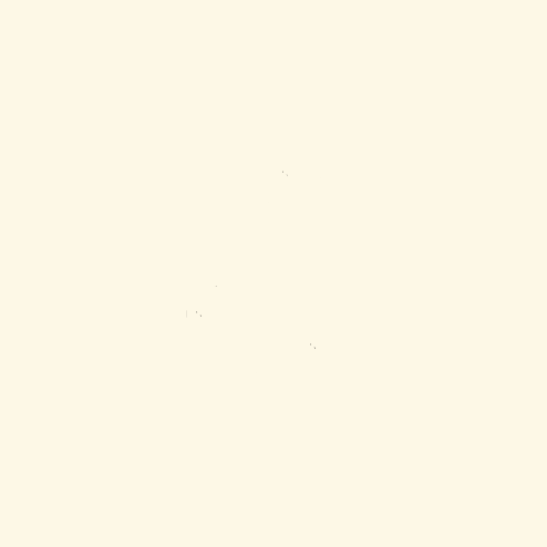 CCSNC1CCC(C(C)(C)Nc2cccc(-c3ccccn3)c2)CC1